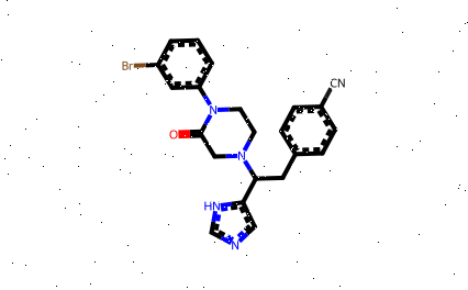 N#Cc1ccc(CC(c2cnc[nH]2)N2CCN(c3cccc(Br)c3)C(=O)C2)cc1